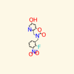 O=C1Oc2cc(O)cnc2CN1Cc1cccc([N+](=O)[O-])c1F